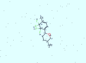 CCCC1CCC(C2=CC=C(CC)C(F)(F)C2(F)F)OC1